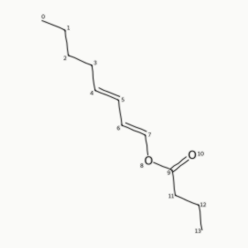 CCCCC=CC=COC(=O)CCC